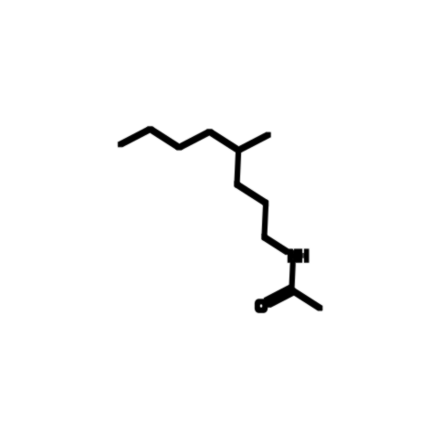 CCCCC(C)CCCNC(C)=O